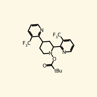 CC(C)(C)C(=O)ON1CCC(c2ncccc2C(F)(F)F)CC1c1ncccc1C(F)(F)F